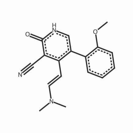 COc1ccccc1-c1c[nH]c(=O)c(C#N)c1C=CN(C)C